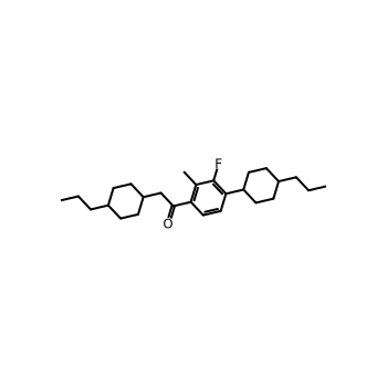 CCCC1CCC(CC(=O)c2ccc(C3CCC(CCC)CC3)c(F)c2C)CC1